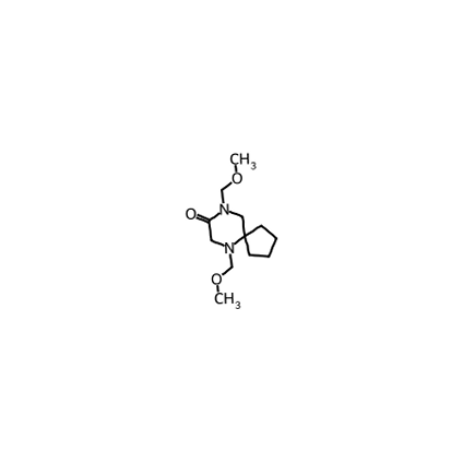 COCN1CC2(CCCC2)N(COC)CC1=O